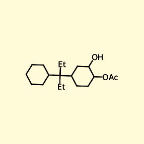 CCC(CC)(C1CCCCC1)C1CCC(OC(C)=O)C(O)C1